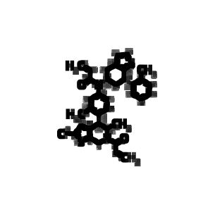 C=CC(=O)N1Cc2sc(Cl)cc2[C@@H](c2ccc(N(C(=O)C=C)[C@@H]3Cc4ccsc4[C@H](c4ccccc4C)C3)cc2C)[C@H]1C